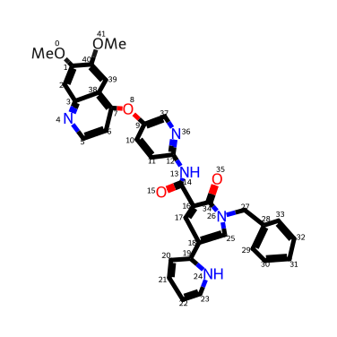 COc1cc2nccc(Oc3ccc(NC(=O)c4cc(C5C=CC=CN5)cn(Cc5ccccc5)c4=O)nc3)c2cc1OC